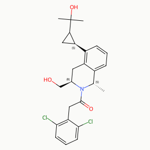 C[C@H]1c2cccc([C@H]3CC3C(C)(C)O)c2C[C@H](CO)N1C(=O)Cc1c(Cl)cccc1Cl